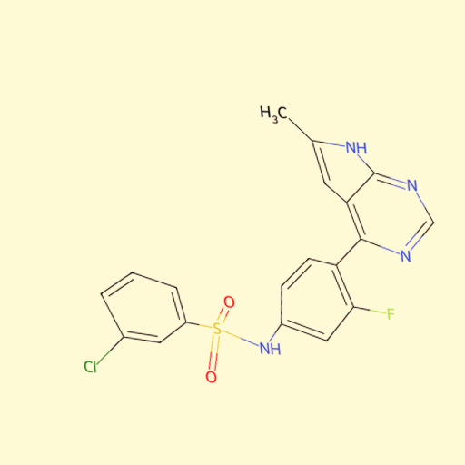 Cc1cc2c(-c3ccc(NS(=O)(=O)c4cccc(Cl)c4)cc3F)ncnc2[nH]1